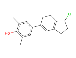 Cc1cc(C2=CC3=C(CC2)C(Cl)CC3)cc(C)c1O